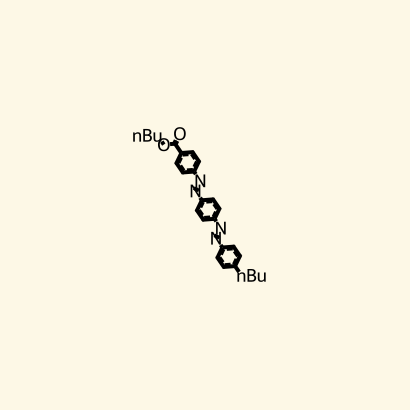 CCCCOC(=O)c1ccc(N=Nc2ccc(N=Nc3ccc(CCCC)cc3)cc2)cc1